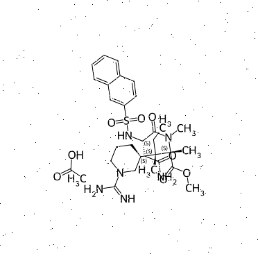 CC(=O)O.CC[C@@](C)([C@@H]1CCCN(C(=N)N)C1)[C@@](C)(C(=O)OC)N(C)C(=O)[C@H](CC(N)=O)NS(=O)(=O)c1ccc2ccccc2c1